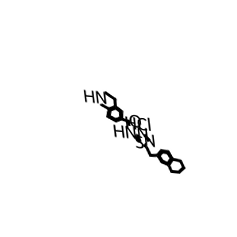 Cl.O=C(Nc1nnc(Cc2ccc3c(c2)CCCC3)s1)c1ccc2c(c1)CCNC2